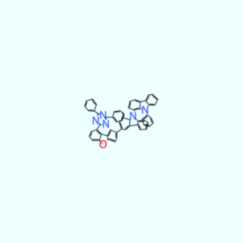 CC1C=C(c2ccc3oc4cccc(-c5nc(-c6ccccc6)nc(-c6ccccc6)n5)c4c3c2)C=C2c3ccccc3N(c3cccc4c5ccccc5n(-c5ccccc5)c34)C21